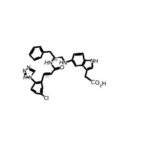 O=C(O)Cc1c[nH]c2ccc(NC[C@H](Cc3ccccc3)NC(=O)/C=C/c3cc(Cl)ccc3-n3cnnn3)cc12